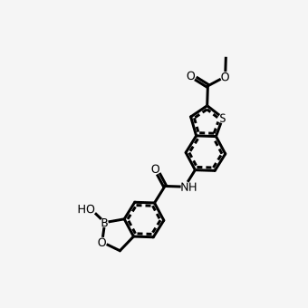 COC(=O)c1cc2cc(NC(=O)c3ccc4c(c3)B(O)OC4)ccc2s1